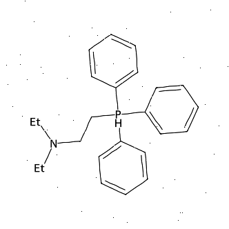 CCN(CC)CC[PH](c1ccccc1)(c1ccccc1)c1ccccc1